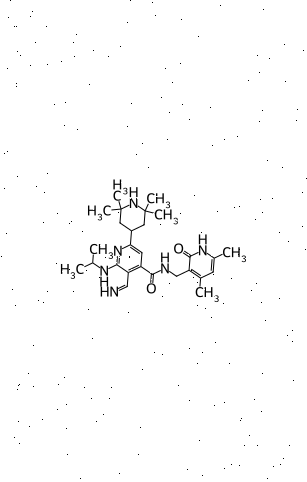 Cc1cc(C)c(CNC(=O)c2cc(C3CC(C)(C)NC(C)(C)C3)nc(NC(C)C)c2C=N)c(=O)[nH]1